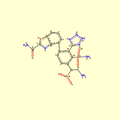 NCC(c1ccc(-c2cccc3sc(C(N)=O)nc23)c(-c2nn[nH]n2)c1S(N)(=O)=O)[SH](=O)=O